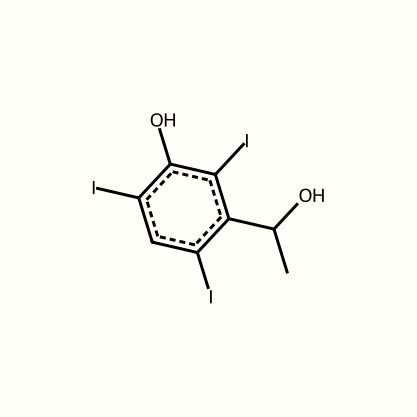 CC(O)c1c(I)cc(I)c(O)c1I